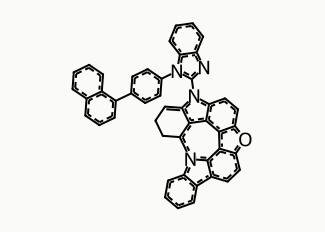 C1=c2c3c(n4c5ccccc5c5ccc6oc7ccc(c3c7c6c54)n2-c2nc3ccccc3n2-c2ccc(-c3cccc4ccccc34)cc2)CC1